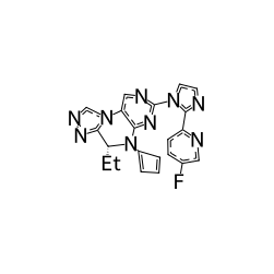 CC[C@@H]1c2nncn2-c2cnc(-n3ccnc3-c3ccc(F)cn3)nc2N1C1=CC=C1